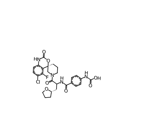 O=C(O)Nc1ccc(C(=O)NC(C[C@@H]2CCCO2)C(=O)N2CCC[C@@]3(C2)OC(=O)Nc2ccc(Cl)c(F)c23)cc1